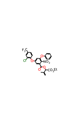 C=C(C)C(OC(=O)c1cc(Oc2ccc(C(F)(F)F)cc2Cl)cc(Oc2ccccc2)c1[N+](=O)[O-])C(=O)OCC